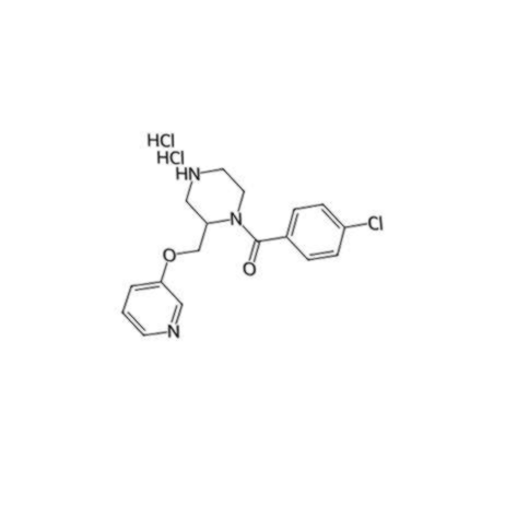 Cl.Cl.O=C(c1ccc(Cl)cc1)N1CCNCC1COc1cccnc1